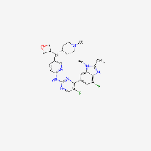 CCN1CCC([C@H](c2ccc(Nc3ncc(F)c(-c4cc(F)c5nc(C)n(C(C)C)c5c4)n3)nc2)C2COC2)CC1